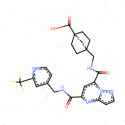 O=C(NCc1ccnc(C(F)(F)F)c1)c1cc(C(=O)NCC23CCC(C(=O)O)(CC2)CC3)n2nccc2n1